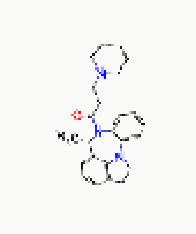 CC1c2cccc3c2N(CC3)c2ccccc2N1C(=O)CCN1CCCCC1